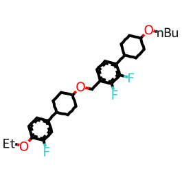 CCCCOC1CCC(c2ccc(COC3CCC(c4ccc(OCC)c(F)c4)CC3)c(F)c2F)CC1